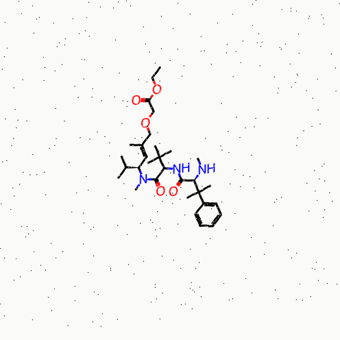 CCOC(=O)COC/C(C)=C/[C@H](C(C)C)N(C)C(=O)C(NC(=O)[C@@H](NC)C(C)(C)c1ccccc1)C(C)(C)C